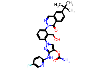 CC(C)(C)c1ccc2c(=O)n(-c3cccc(-n4cc(OC(N)=O)c(Nc5ccc(F)cn5)n4)c3CO)ncc2c1